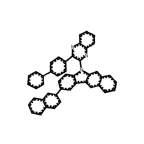 c1ccc(-c2ccc(-c3nc4ccccc4nc3-n3c4ccc(-c5ccc6ccccc6c5)cc4c4cc5ccccc5cc43)cc2)cc1